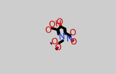 COC(Cn1cc(C(=O)O)c(=O)cc1C(=O)N=O)OC